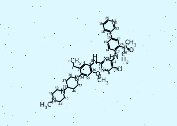 CCc1cc(Nc2ncc(Cl)c(Nc3ccc(-c4cccnc4)cc3P(C)(C)=O)n2)c(OC)cc1N1CCC(N2CCN(C)CC2)CC1